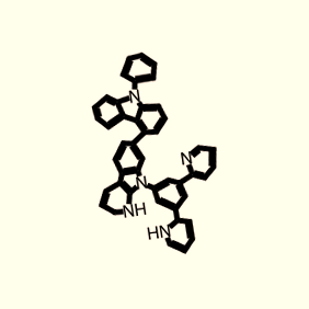 C1=CNC(c2cc(-c3ccccn3)cc(-n3c4c(c5ccc(-c6cccc7c6c6ccccc6n7-c6ccccc6)cc53)C=CCN4)c2)C=C1